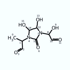 CC(C=O)N1C(=O)N(C(O)C=O)C(O)C1O